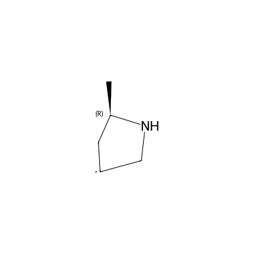 C[C@@H]1C[CH]CN1